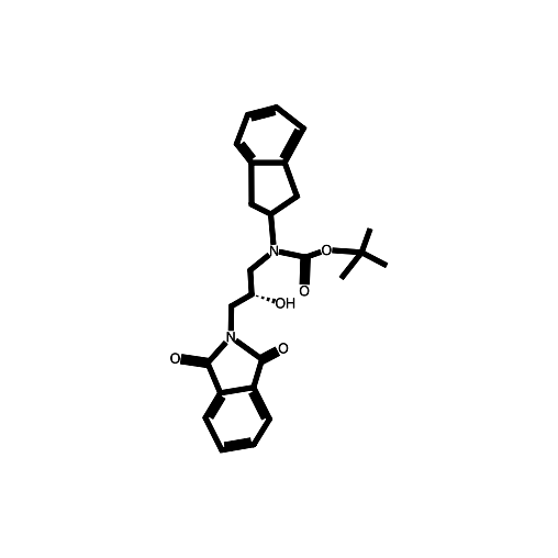 CC(C)(C)OC(=O)N(C[C@H](O)CN1C(=O)c2ccccc2C1=O)C1Cc2ccccc2C1